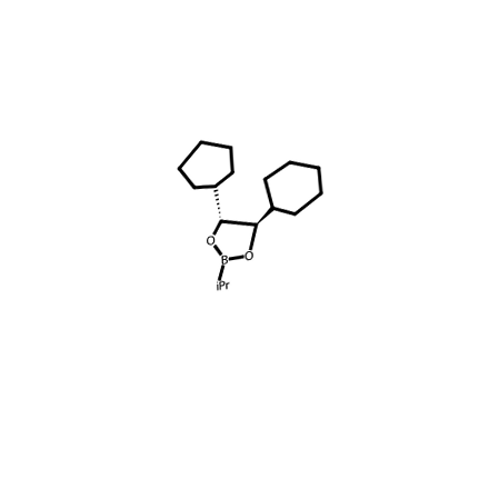 CC(C)B1O[C@H](C2CCCCC2)[C@@H](C2CCCCC2)O1